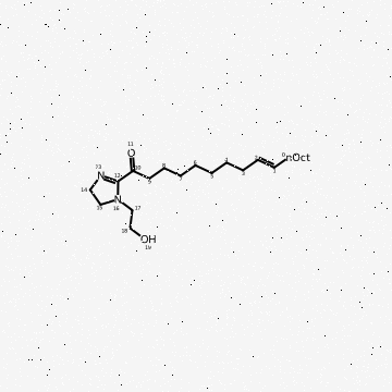 CCCCCCCCC=CCCCCCCCC(=O)C1=NCCN1CCO